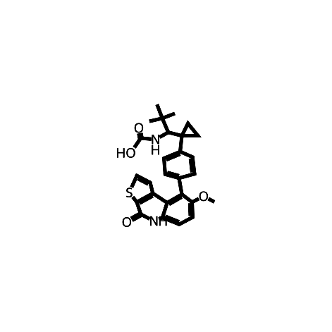 COc1ccc2[nH]c(=O)c3sccc3c2c1-c1ccc(C2(C(NC(=O)O)C(C)(C)C)CC2)cc1